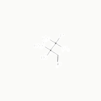 CC(C)CC(O)(C(=O)O)C(C)(C)F